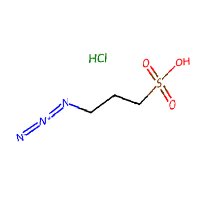 Cl.[N-]=[N+]=NCCCS(=O)(=O)O